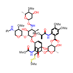 C=C(OC)C(=O)Nc1cc(OC)c(OC)cc1C(=O)O[C@H]1C[C@H](O[C@@H]2C(=O)C(NC(=O)OC)=C3/C(=C\CSSSC)[C@]2(O)C=C[C@@H]3O[C@@H]2O[C@H](C)[C@@H](NO[C@H]3C[C@H](O)[C@H](SC)[C@@H](C)O3)[C@H](O)[C@H]2O[C@H]2C[C@H](OC)[C@@H](NC(C)C)CO2)O[C@@H](C)[C@@H]1O